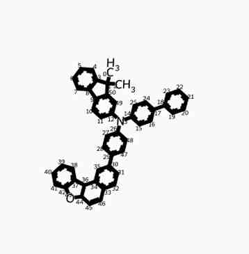 CC1(C)c2ccccc2-c2ccc(N(c3ccc(-c4ccccc4)cc3)c3ccc(-c4ccc5c(c4)C4c6ccccc6OC4C=C5)cc3)cc21